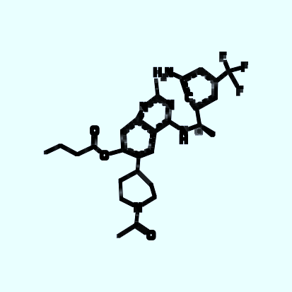 CCCC(=O)Oc1cc2nc(C)nc(N[C@H](C)c3cc(N)cc(C(F)(F)F)c3)c2cc1C1CCN(C(C)=O)CC1